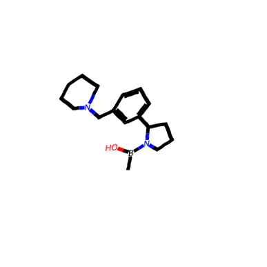 CB(O)N1CCCC1c1cccc(CN2CCCCC2)c1